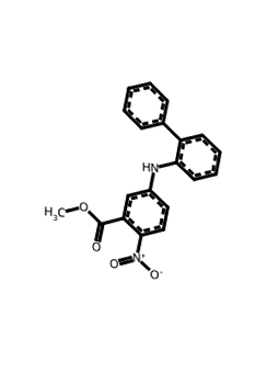 COC(=O)c1cc(Nc2ccccc2-c2ccccc2)ccc1[N+](=O)[O-]